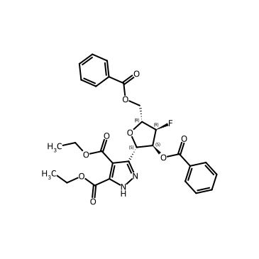 CCOC(=O)c1[nH]nc([C@@H]2O[C@H](COC(=O)c3ccccc3)[C@@H](F)[C@H]2OC(=O)c2ccccc2)c1C(=O)OCC